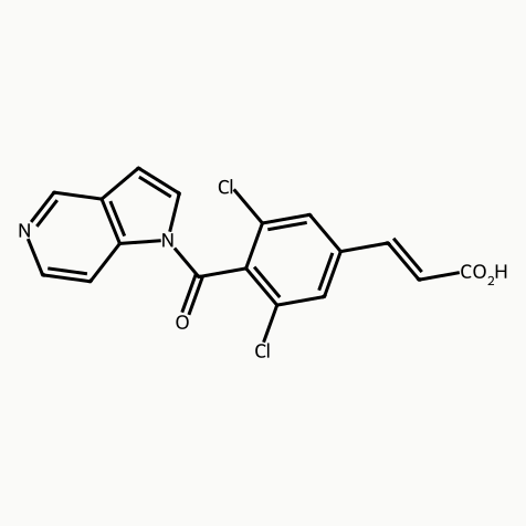 O=C(O)C=Cc1cc(Cl)c(C(=O)n2ccc3cnccc32)c(Cl)c1